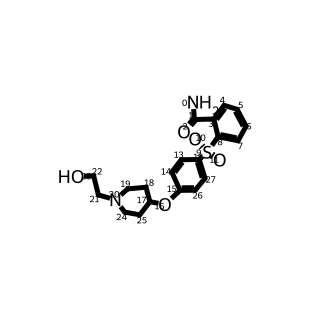 NC(=O)c1ccccc1S(=O)(=O)c1ccc(OC2CCN(CCO)CC2)cc1